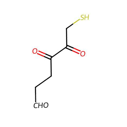 O=CCCC(=O)C(=O)CS